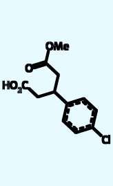 COC(=O)CC(CC(=O)O)c1ccc(Cl)cc1